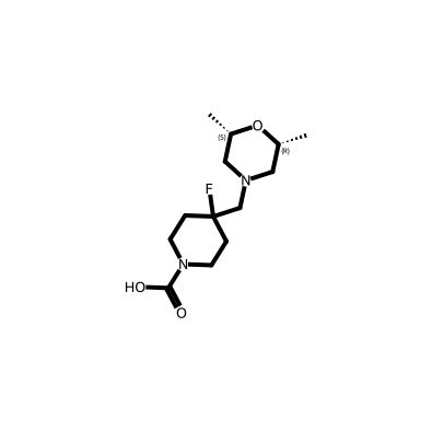 C[C@@H]1CN(CC2(F)CCN(C(=O)O)CC2)C[C@H](C)O1